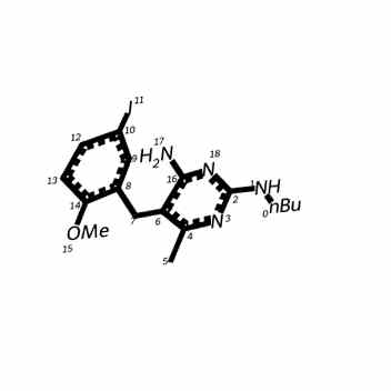 CCCCNc1nc(C)c(Cc2cc(I)ccc2OC)c(N)n1